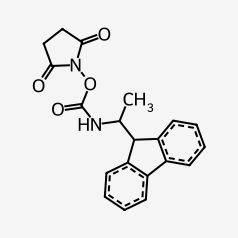 CC(NC(=O)ON1C(=O)CCC1=O)C1c2ccccc2-c2ccccc21